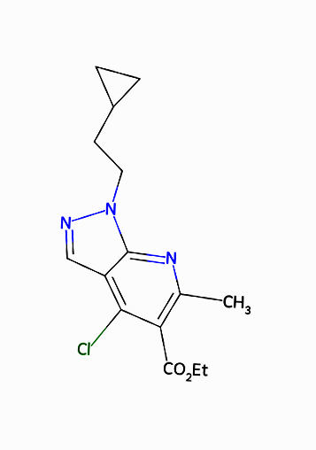 CCOC(=O)c1c(C)nc2c(cnn2CCC2CC2)c1Cl